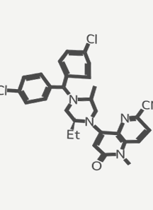 CC[C@H]1CN(C(c2ccc(Cl)cc2)c2ccc(Cl)cc2)C(C)CN1c1cc(=O)n(C)c2ccc(C#N)nc12